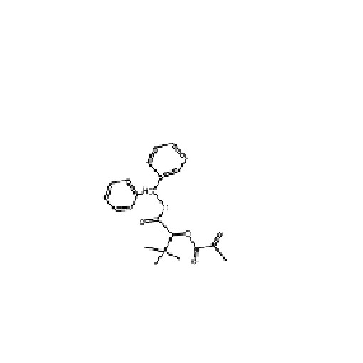 C=C(C)C(=O)OC(C(=O)O[SiH](c1ccccc1)c1ccccc1)C(C)(C)C